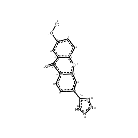 CCOc1ccc2oc3cc(-c4nnn[nH]4)ccc3c(=O)c2c1